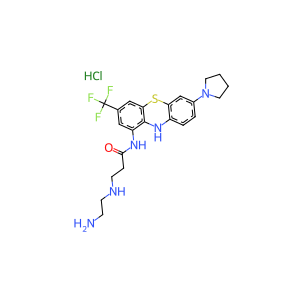 Cl.NCCNCCC(=O)Nc1cc(C(F)(F)F)cc2c1Nc1ccc(N3CCCC3)cc1S2